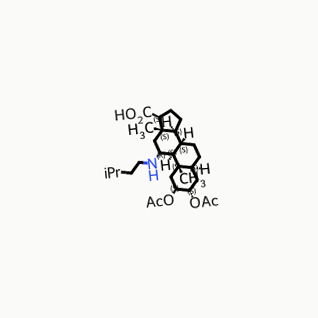 CC(=O)O[C@H]1C[C@@H]2CC[C@@H]3[C@H]([C@H](NCCC(C)C)C[C@]4(C)[C@@H](C(=O)O)CC[C@@H]34)[C@@]2(C)C[C@@H]1OC(C)=O